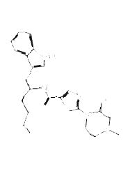 CCCCC(Cc1c[nH]c2ccccc12)NC(=O)c1cnc(N2CCN(C)CC2O)s1